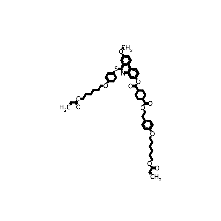 C=CC(=O)OCCCCCCOC1=CC=C(Sc2nc3cc(OC(=O)C4CCC(C(=O)OCCc5ccc(OCCCCCCOC(=O)C=C)cc5)CC4)ccc3c3ccc(OC)cc23)CC1